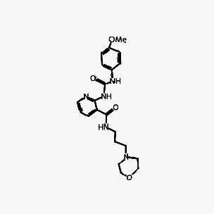 COc1ccc(NC(=O)Nc2ncccc2C(=O)NCCCN2CCOCC2)cc1